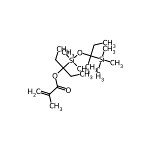 C=C(C)C(=O)OC(CC)(CC)[Si](C)(C)OC(C)(CC)[Si](C)(C)C